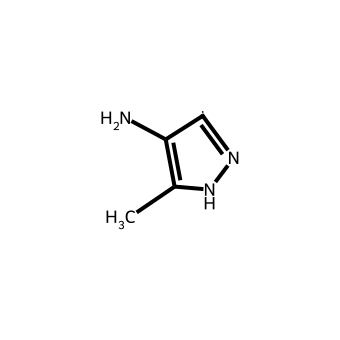 Cc1[nH]n[c]c1N